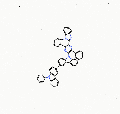 C1=Cc2c(n(-c3ccccc3)c3ccc(-c4ccc5c(c4)c4ccccc4n5-c4nc5c6ccccc6n6c7ccccc7nc6c5nc4-c4ccccc4)cc23)CC1